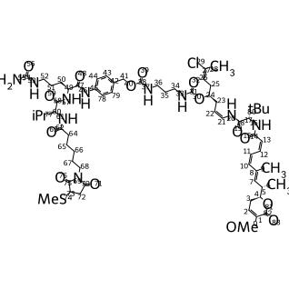 COC1=CC[C@@H]([C@@H](C)/C=C(C)/C=C\C=C/C(=O)N[C@H](C(=O)N/C=C\C[C@H](C/C=C(\C)Cl)OC(=O)NCCCNC(=O)OCc2ccc(NC(=O)[C@H](CCCNC(N)=O)NC(=O)[C@@H](NC(=O)CCCCCN3C(=O)CC(SC)C3=O)C(C)C)cc2)C(C)(C)C)OC1=O